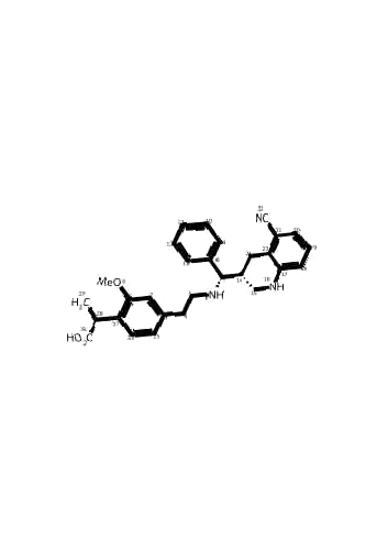 COc1cc(CCN[C@H](c2ccccc2)[C@H]2CNc3cccc(C#N)c3C2)ccc1[C@H](C)C(=O)O